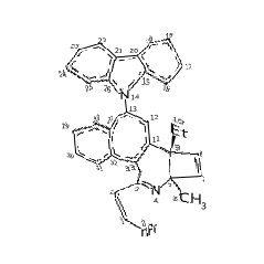 CCC/C=C\C1=NC2(C)C=C[C@@]2(CC)c2cc(-n3c4ccccc4c4ccccc43)c3ccccc3c21